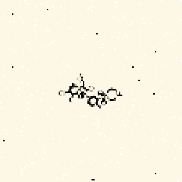 COCC(C(=O)Nc1ccc(C)c(S(=O)(=O)N2CCCN(C)CC2)c1)n1ncc(Cl)c(Cl)c1=O